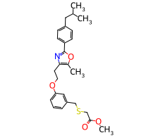 COC(=O)CSCc1cccc(OCCc2nc(-c3ccc(CC(C)C)cc3)oc2C)c1